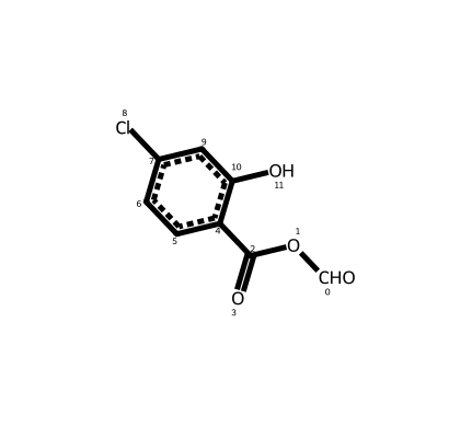 O=COC(=O)c1ccc(Cl)cc1O